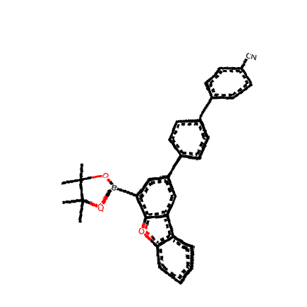 CC1(C)OB(c2cc(-c3ccc(-c4ccc(C#N)cc4)cc3)cc3c2oc2ccccc23)OC1(C)C